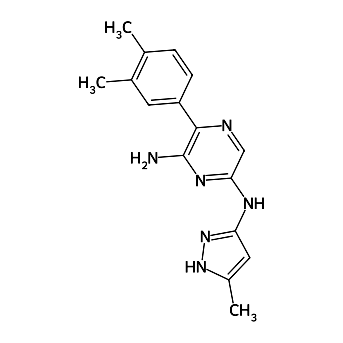 Cc1cc(Nc2cnc(-c3ccc(C)c(C)c3)c(N)n2)n[nH]1